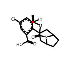 C=COC(=O)N1C2CCC1CC(c1c(Cl)cc(Cl)cc1C(=O)O)C2